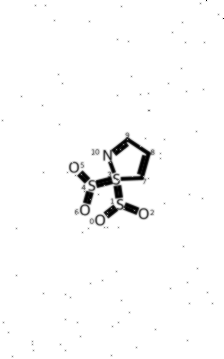 O=S(=O)=S1(=S(=O)=O)C=CC=N1